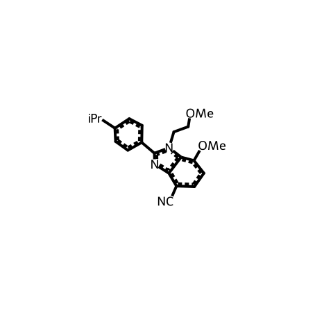 COCCn1c(-c2ccc(C(C)C)cc2)nc2c(C#N)ccc(OC)c21